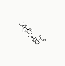 CCc1[nH]c(C(=O)N[C@@H]2CCN(c3nc4cccc(C(=O)O)c4s3)C[C@@H]2OC)nc1C